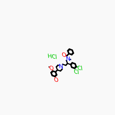 COc1ccc(OC)c(C2CCN(CCC(CN(C)C(=O)c3ccccc3)c3ccc(Cl)c(Cl)c3)CC2)c1.Cl